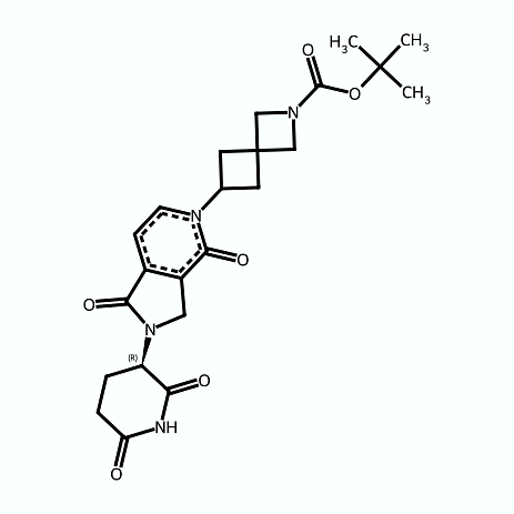 CC(C)(C)OC(=O)N1CC2(CC(n3ccc4c(c3=O)CN([C@@H]3CCC(=O)NC3=O)C4=O)C2)C1